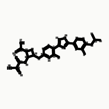 Cc1cc(-c2nc(-c3ccc(CN4CC(C(=O)O)C4OC(=O)C(=O)O)nc3C)no2)ccc1CC(C)C